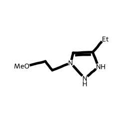 CCC1=CN(CCOC)NN1